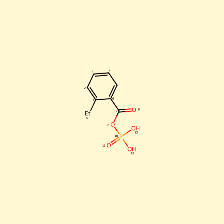 CCc1ccccc1C(=O)OP(=O)(O)O